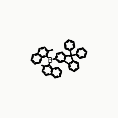 Cc1ccc2ccccc2c1B(c1ccc2c(c1)-c1ccccc1C2(c1ccccc1)c1ccccc1)c1c(C)ccc2ccccc12